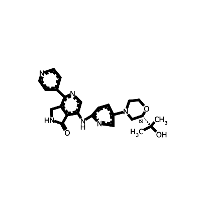 CC(C)(O)[C@@H]1CN(c2ccc(Nc3cnc(-c4ccncc4)c4c3C(=O)NC4)nc2)CCO1